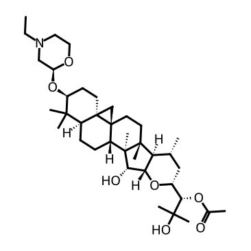 CCN1CCO[C@@H](O[C@H]2CC[C@]34C[C@]35CC[C@]3(C)[C@@H]6[C@H](O[C@@H]([C@H](OC(C)=O)C(C)(C)O)C[C@H]6C)[C@H](O)[C@@]3(C)[C@@H]5CC[C@H]4C2(C)C)C1